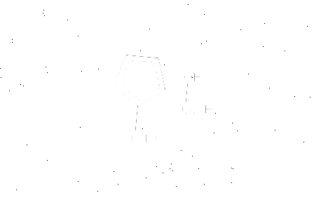 O=C(O)O.O=Cc1ccco1